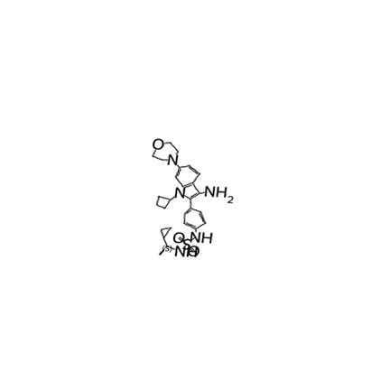 C[C@H](NS(=O)(=O)Nc1ccc(-c2c(N)c3ccc(N4CCOCC4)cc3n2C2CCC2)cc1)C1CC1